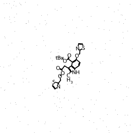 Cc1[nH]c2ccc(OCc3nccs3)c(C(=O)OC(C)(C)C)c2c1CC(=O)OOCc1nccs1